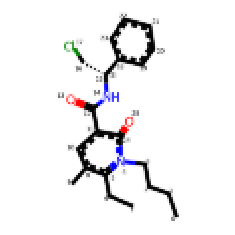 CCCCn1c(CC)c(C)cc(C(=O)N[C@H](CCl)c2ccccc2)c1=O